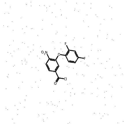 O=C(Cl)c1ccc([N+](=O)[O-])c(Oc2ccc(F)cc2F)c1